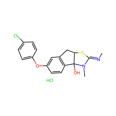 C/N=C1\SC2Cc3cc(Oc4ccc(Cl)cc4)ccc3C2(O)N1C.Cl